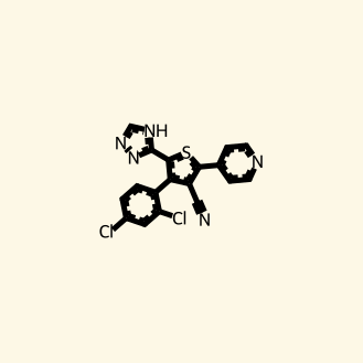 N#Cc1c(-c2ccncc2)sc(-c2nnc[nH]2)c1-c1ccc(Cl)cc1Cl